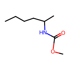 CCCCC(C)NC(=O)OC